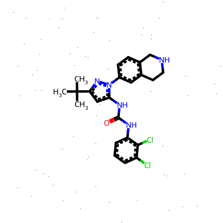 CC(C)(C)c1cc(NC(=O)Nc2cccc(Cl)c2Cl)n(-c2ccc3c(c2)CCNC3)n1